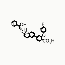 O=C(O)c1ccc(-c2ccc3c(c2)CC[C@H](CNC[C@H](O)c2cccnc2)O3)cc1Oc1ccc(F)cc1